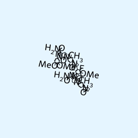 COc1ccc(-n2nc(C(N)=O)c3c2C(=O)N(c2ccc(N4CCC(c5cc(-n6nc(C(N)=O)c7c6C(=O)N(c6ccc(N8CCCC8=O)cc6C)CC7)cc(OC)c5F)C4=O)cc2C)CC3)cc1OC